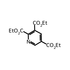 CCOC(=O)c1cnc(C(=O)OCC)c(C(=O)OCC)c1